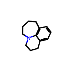 c1cc2c3c(c1)CCCN3CCCC2